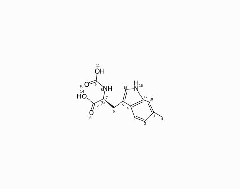 Cc1ccc2c(C[C@H](NC(=O)O)C(=O)O)c[nH]c2c1